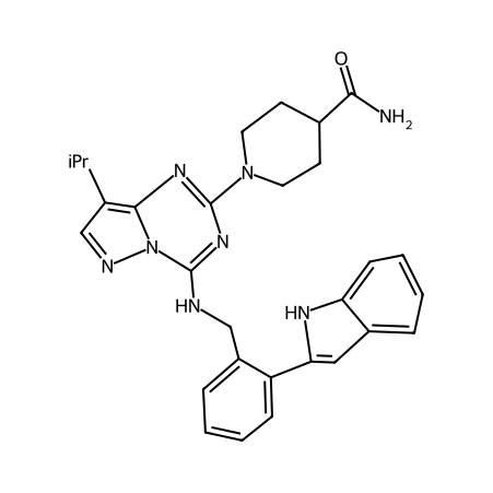 CC(C)c1cnn2c(NCc3ccccc3-c3cc4ccccc4[nH]3)nc(N3CCC(C(N)=O)CC3)nc12